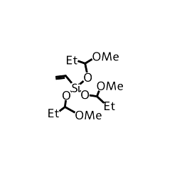 C=C[Si](OC(CC)OC)(OC(CC)OC)OC(CC)OC